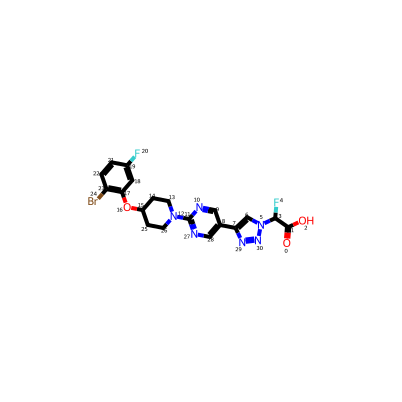 O=C(O)C(F)n1cc(-c2cnc(N3CCC(Oc4cc(F)ccc4Br)CC3)nc2)nn1